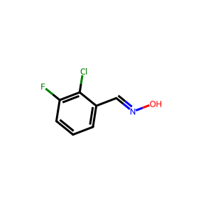 ON=Cc1cccc(F)c1Cl